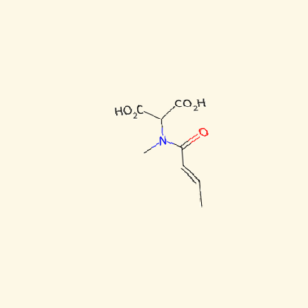 CC=CC(=O)N(C)C(C(=O)O)C(=O)O